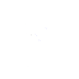 CCCCc1nn(-c2nc(F)c(Cl)cc2Cl)c(=O)o1